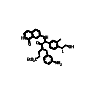 CCOC(=O)CCN(Cc1cccc(N)c1)C(=O)C(Nc1ccc2cc[nH]c(=O)c2c1)c1ccc([C@@H](C)CO)c(C)c1